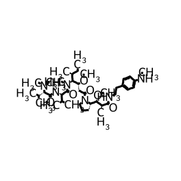 CC[C@H](C)[C@@H]([C@@H](CC(=O)N1CCC[C@H]1[C@H](OC)[C@@H](C)C(=O)NCCc1ccc(NC)cc1)OC)N(C)C(=O)[C@@H](NC(=O)[C@H](C(C)C)N(C)C)C(C)C